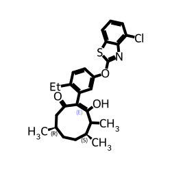 CCc1ccc(Oc2nc3c(Cl)cccc3s2)cc1/C1=C(\O)C(C)[C@@H](C)CC[C@@H](C)CC1=O